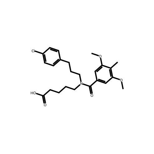 COc1cc(C(=O)N(CCCCC(=O)O)CCCc2ccc(Cl)cc2)cc(OC)c1C